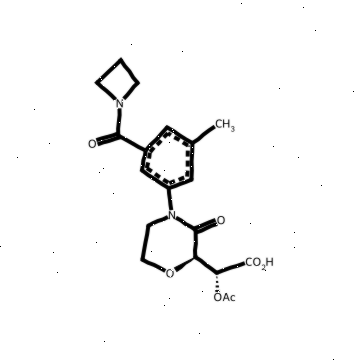 CC(=O)O[C@@H](C(=O)O)[C@H]1OCCN(c2cc(C)cc(C(=O)N3CCC3)c2)C1=O